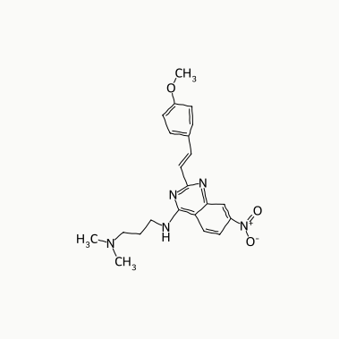 COc1ccc(C=Cc2nc(NCCCN(C)C)c3ccc([N+](=O)[O-])cc3n2)cc1